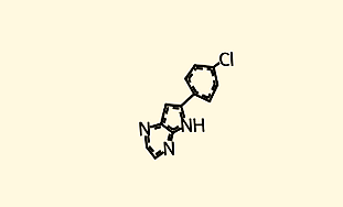 Clc1ccc(-c2cc3nccnc3[nH]2)cc1